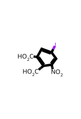 O=C(O)c1cc(I)cc([N+](=O)[O-])c1C(=O)O